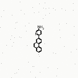 Nc1ccc(-c2ccc3c(ccc4ccccc43)c2)nc1